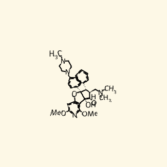 COc1cc2c(c(OC)n1)[C@]1(O)[C@H](O)[C@H](CN(C)C)[C@@H](c3ccccc3)[C@]1(c1ccc(N3CCN(C)CC3)cc1)O2